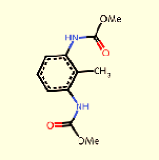 COC(=O)Nc1cccc(NC(=O)OC)c1C